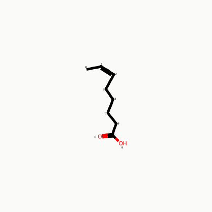 C/C=C\CCCCC(=O)O